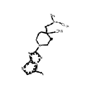 CC(C)(C)N(CC1(O)CCN(c2nn3c(I)cnc3s2)CC1)C(=O)O